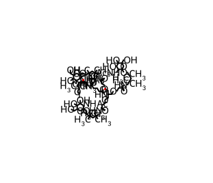 CC(=O)NC1C(OCC(C)(C)CC(C)(C)CNC(=O)CCOCC(COCCC(=O)NCC(C)(C)CC(C)(C)COC2OC(CO)C(O)C(O)C2NC(C)=O)(COCCC(=O)NCC(C)(C)CC(C)(C)COC2OC(CO)C(O)C(O)C2NC(C)=O)NC(=O)CCCC(=O)NCC(C)(C)CC(C)COI)OC(CO)C(O)C1O